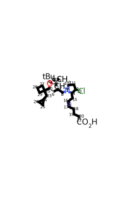 CC(C)(C)[Si](C)(C)O[C@H](CCCN1CCC(Cl)C1C/C=C\CCCC(=O)O)C1(CC2CC2)CCC1